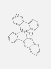 O=P12c3ccccc3-c3cnccc3N1c1ccccc1-c1cc3ccccc3cc12